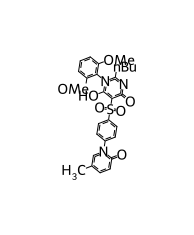 CCCCc1nc(=O)c(S(=O)(=O)c2ccc(-n3cc(C)ccc3=O)cc2)c(O)n1-c1c(OC)cccc1OC